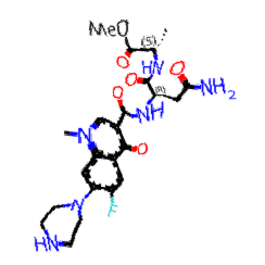 COC(=O)[C@H](C)NC(=O)[C@@H](CC(N)=O)NC(=O)c1cn(C)c2cc(N3CCNCC3)c(F)cc2c1=O